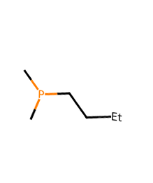 [CH2]CCCP(C)C